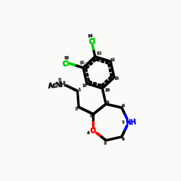 CC(=O)NCCC1OCCNCC1c1ccc(Cl)c(Cl)c1